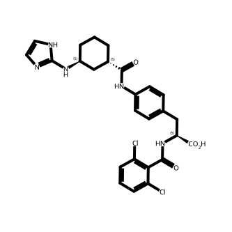 O=C(N[C@@H](Cc1ccc(NC(=O)[C@H]2CCC[C@H](Nc3ncc[nH]3)C2)cc1)C(=O)O)c1c(Cl)cccc1Cl